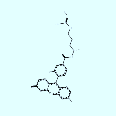 C/N=C(\NC)NCCC[C@H](NC(=O)c1ccc(-c2c3ccc(=O)cc-3oc3cc(O)ccc23)c(C(=O)O)c1)C(=O)O